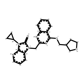 O=c1n(Cc2nc(OCC3CCOC3)c3ccccc3n2)c2cccnc2n1C1CC1